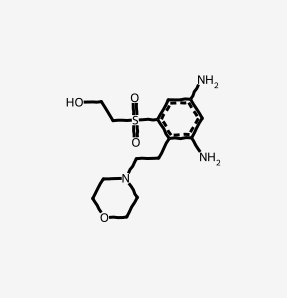 Nc1cc(N)c(CCN2CCOCC2)c(S(=O)(=O)CCO)c1